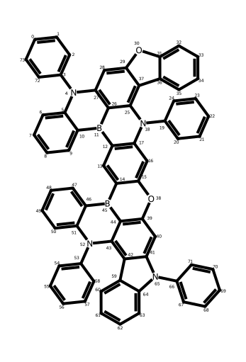 c1ccc(N2c3ccccc3B3c4cc5c(cc4N(c4ccccc4)c4c3c2cc2oc3ccccc3c42)Oc2cc3c(c4c2B5c2ccccc2N4c2ccccc2)c2ccccc2n3-c2ccccc2)cc1